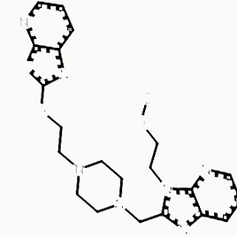 CCOCCn1c(CN2CCN(CCOc3nc4cccnc4s3)CC2)nc2cccnc21